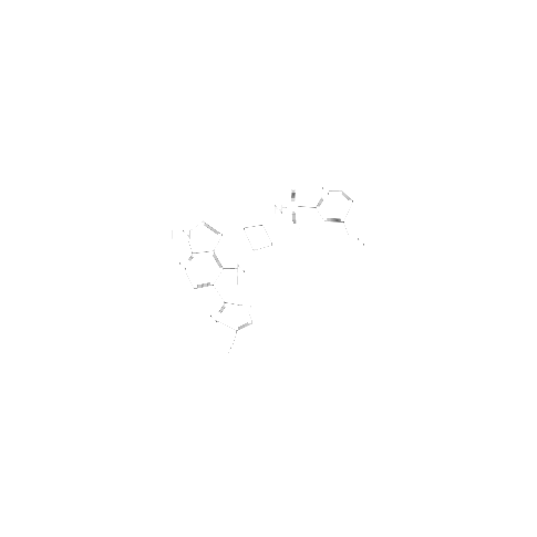 CC(=O)c1coc(-c2cnc3[nH]ccc3c2N[C@H]2C[C@@H](NS(=O)(=O)c3cc(C#N)ccn3)C2)n1